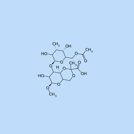 CO[C@@H]1OC2COC(C)(C(=O)O)O[C@@H]2C(O[C@@H]2OC(COC(C)=O)[C@@H](O)[C@@H](C)C2O)C1O